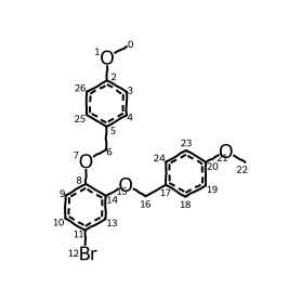 COc1ccc(COc2ccc(Br)cc2OCc2ccc(OC)cc2)cc1